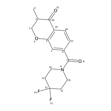 CC1COc2cc(C(=O)N3CCC(F)(F)CC3)ccc2C1=O